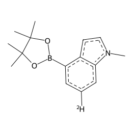 [2H]c1cc(B2OC(C)(C)C(C)(C)O2)c2ccn(C)c2c1